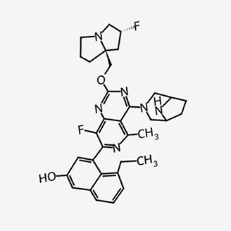 CCc1cccc2cc(O)cc(-c3nc(C)c4c(N5CC6CCC(C5)N6)nc(OC[C@@]56CCCN5C[C@H](F)C6)nc4c3F)c12